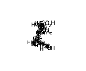 COc1c(NC(=O)c2ccc(NC(=O)[C@H](Cc3cnn[nH]3)NC(=O)c3ccc(NC(=O)/C(C)=C/c4ccc(O)cc4)cn3)cc2)ccc(C(=O)Nc2ccc(C(=O)O)c(O)c2OCCO)c1O